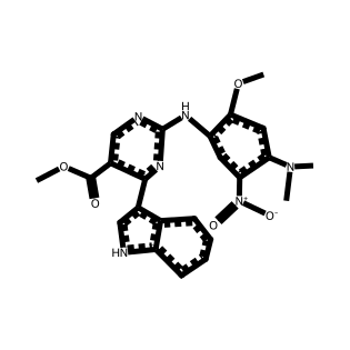 COC(=O)c1cnc(Nc2cc([N+](=O)[O-])c(N(C)C)cc2OC)nc1-c1c[nH]c2ccccc12